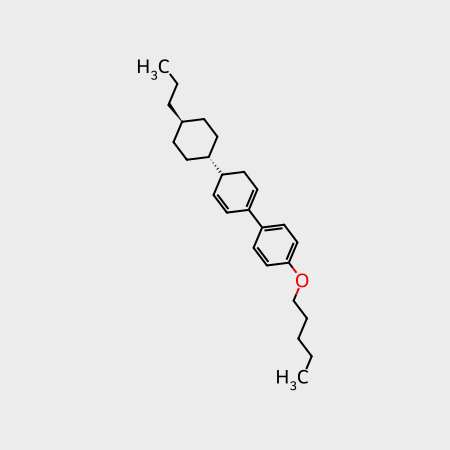 CCCCCOc1ccc(C2=CCC([C@H]3CC[C@H](CCC)CC3)C=C2)cc1